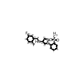 CS(=O)(=O)c1ccccc1-n1cc(NCc2cc(F)ccc2F)cn1